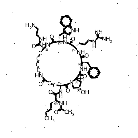 CCCC[C@H](NC(C)=O)C(=O)N[C@H]1CCC(=O)NCCCC[C@@H](C(=O)NCCN)NC(=O)[C@H](Cc2c[nH]c3ccccc23)NC(=O)[C@H](CCCNC(=N)N)NC(=O)[C@@H](Cc2ccccc2)NC(=O)[C@@H]2C[C@@H](O)CN2C1=O